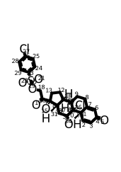 C[C@]12C=CC(=O)C=C1CC[C@H]1[C@@H]3CC[C@](O)(C(=O)COS(=O)(=O)c4ccc(Cl)cc4)[C@@]3(C)CC(O)[C@@]12Cl